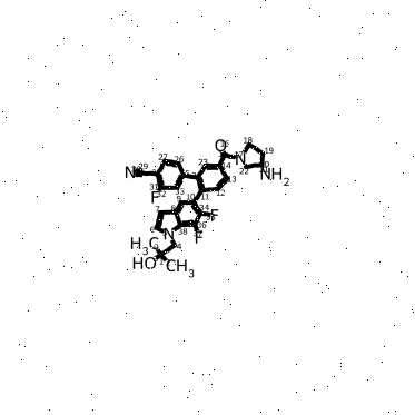 CC(C)(O)Cn1ccc2cc(-c3ccc(C(=O)N4CC[C@H](N)C4)cc3-c3ccc(C#N)c(F)c3)c(F)c(F)c21